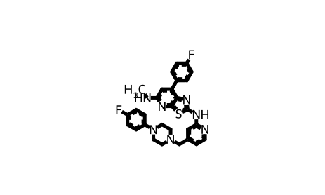 CNc1cc(-c2ccc(F)cc2)c2nc(Nc3cc(CN4CCN(c5ccc(F)cc5)CC4)ccn3)sc2n1